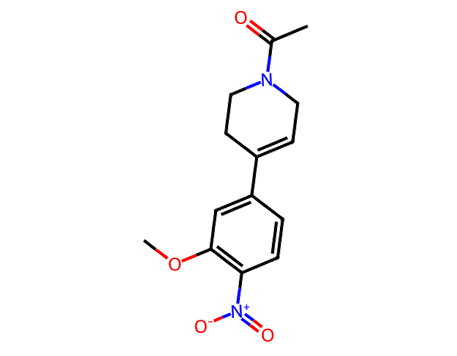 COc1cc(C2=CCN(C(C)=O)CC2)ccc1[N+](=O)[O-]